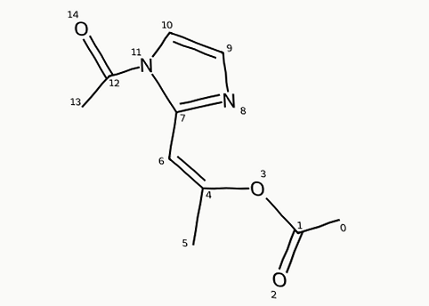 CC(=O)OC(C)=Cc1nccn1C(C)=O